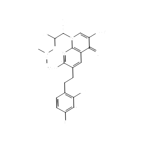 CCOC(=O)c1cn([C@@H](C(C)C)C(O[SiH](C)C)C(C)(C)C)c2nc(OC)c(CCc3ccc(F)cc3F)cc2c1=O